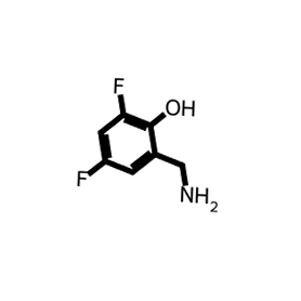 NCc1cc(F)cc(F)c1O